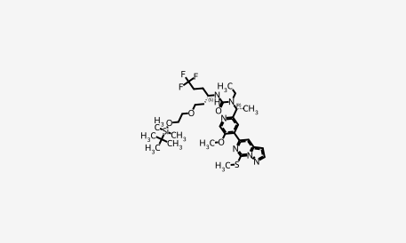 CCN(C(=O)N[C@H](CCOCCO[Si](C)(C)C(C)(C)C)CCC(F)(F)F)[C@H](C)c1cc(-c2cc3ccnn3c(SC)n2)c(OC)cn1